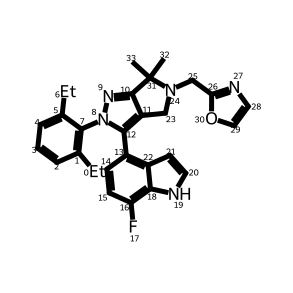 CCc1cccc(CC)c1-n1nc2c(c1-c1ccc(F)c3[nH]ccc13)CN(Cc1ncco1)C2(C)C